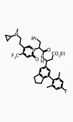 CCOC(=O)CC(NC(=O)C(CC(C)C)n1cc(CCN(C)C2CC2)c(C(F)(F)F)cc1=O)c1cc2c(c(-c3c(C)cc(F)cc3C)c1)CCC2